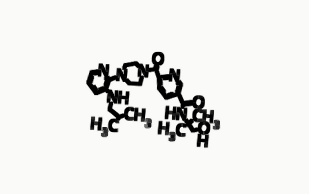 CC(C)CNc1cccnc1N1CCN(C(=O)c2ccc(C(=O)NC(C)(C)CO)cn2)CC1